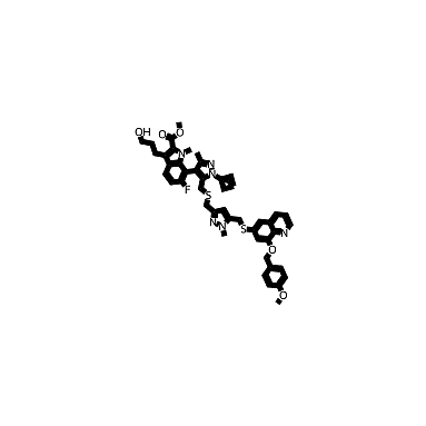 COC(=O)c1c(CCCO)c2ccc(F)c(-c3c(C)nn(C45CC(C4)C5)c3CSCc3cc(CSc4cc(OCc5ccc(OC)cc5)c5ncccc5c4)n(C)n3)c2n1C